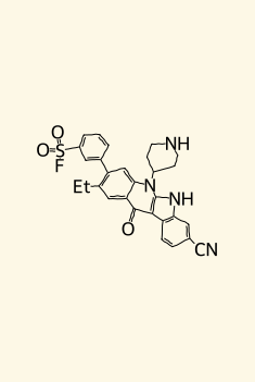 CCc1cc2c(=O)c3c4ccc(C#N)cc4[nH]c3n(C3CCNCC3)c2cc1-c1cccc(S(=O)(=O)F)c1